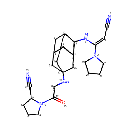 N#C/C=C(\NC1C2CC3CC1CC(NCC(=O)N1CCC[C@H]1C#N)(C3)C2)N1CCCC1